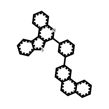 c1cc(-c2ccc3ccc4ccccc4c3c2)cc(-c2nc3ccccc3c3c2sc2ccccc23)c1